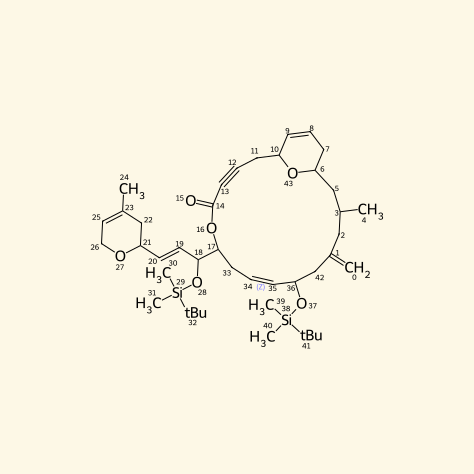 C=C1CC(C)CC2CC=CC(CC#CC(=O)OC(C(C=CC3CC(C)=CCO3)O[Si](C)(C)C(C)(C)C)C/C=C\C(O[Si](C)(C)C(C)(C)C)C1)O2